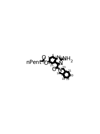 CCCCCC(=O)Oc1ccc2nc(N)nc(C(=O)N3Cc4ccccc4C3)c2c1